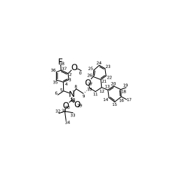 COc1cc(C(C)N(CC[C@H]2CC(c3ccc(C)c(C)c3)c3ccccc3O2)C(=O)OC(C)(C)C)ccc1F